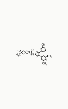 Cc1cc(-c2sc(NC(=O)N3CC4(C3)CC(C)(O)C4)nc2-c2cccc(C#N)c2)cc(C)n1